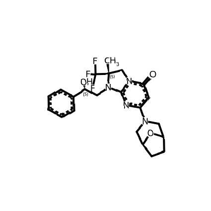 C[C@@]1(C(F)(F)F)Cn2c(nc(N3CC4CCC(C3)O4)cc2=O)N1C[C@@H](O)c1ccccc1